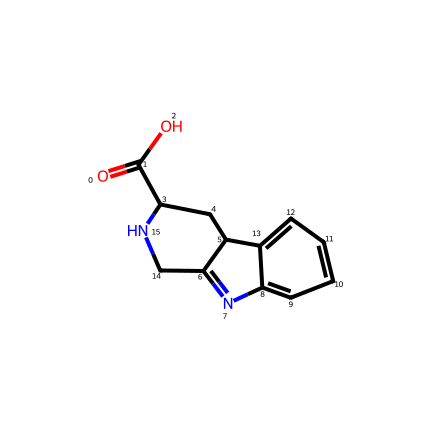 O=C(O)C1CC2C(=Nc3ccccc32)CN1